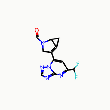 O=CN1CC(c2cc(C(F)F)nc3ncnn23)=C2CC21